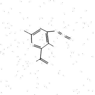 COC(=O)c1nc(Cl)cc(N=[N+]=[N-])c1Br